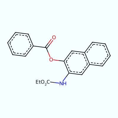 CCOC(=O)Nc1cc2ccccc2cc1OC(=O)c1ccccc1